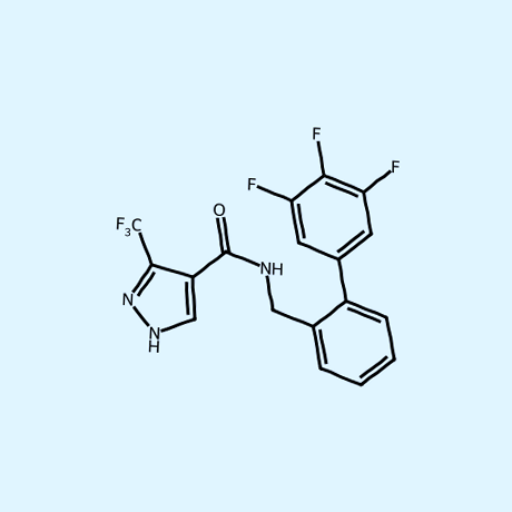 O=C(NCc1ccccc1-c1cc(F)c(F)c(F)c1)c1c[nH]nc1C(F)(F)F